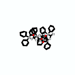 CCC(O[SiH](c1ccccc1)C(C)(CC)C(C)(CC)O[Si](c1ccccc1)(c1ccccc1)C(C)(C)O[Si](c1ccccc1)(c1ccccc1)c1ccccc1)[Si](c1ccccc1)(c1ccccc1)c1ccccc1